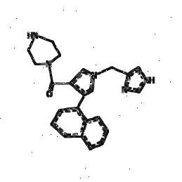 O=C(c1cn(Cc2c[nH]cn2)cc1-c1cccc2ccccc12)N1CCNCC1